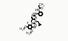 C=CC(=O)Nc1ccccc1Nc1ncc2c(n1)N(CC1CC1)C(=O)N(c1c(F)c(OC)cc(OC)c1Br)C2